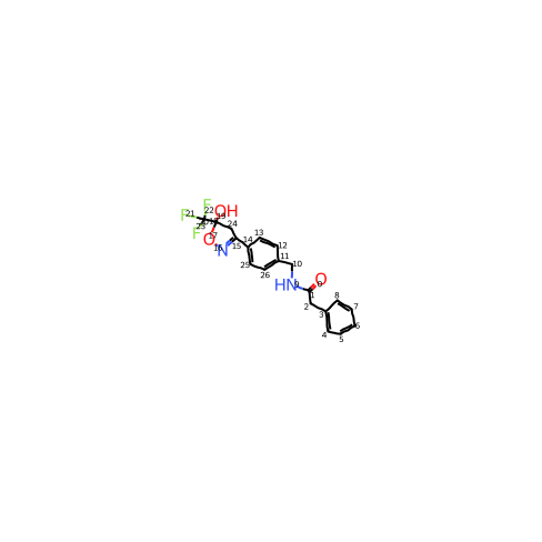 O=C(Cc1ccccc1)NCc1ccc(C2=NOC(O)(C(F)(F)F)C2)cc1